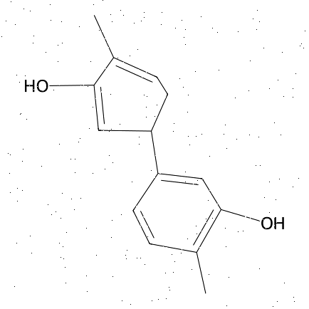 CC1=CCC(c2ccc(C)c(O)c2)C=C1O